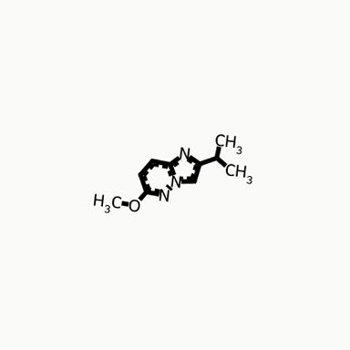 COc1ccc2nc(C(C)C)cn2n1